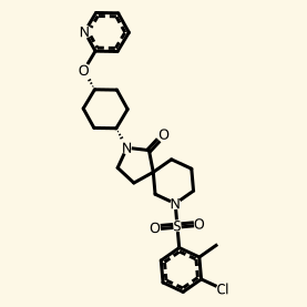 Cc1c(Cl)cccc1S(=O)(=O)N1CCCC2(CCN([C@H]3CC[C@@H](Oc4ccccn4)CC3)C2=O)C1